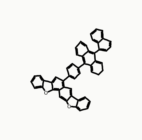 C1=c2c(-c3ccc(-c4cc5c6ccccc6oc5c5cc6oc7ccccc7c6cc45)cc3)c3ccccc3c(-c3cccc4ccccc34)c2=CCC1